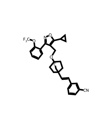 N#Cc1cccc(C=CC23CCC(OCc4c(-c5ccccc5OC(F)(F)F)noc4C4CC4)(CC2)CC3)c1